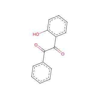 O=C(C(=O)c1ccccc1O)c1ccccc1